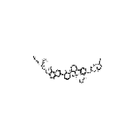 CN[C@@H](CCC=O)CNCc1cnc2cc(-c3cccc(-c4cccc(-c5ccc(CNC[C@@H]6CCC(=O)N6)c(OC)n5)c4C(F)(F)F)c3C)ccn2c1=O